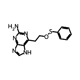 Nc1nc(CCOSc2ccccc2)c2[nH]cnc2n1